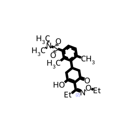 CCO/N=C(/CC)C1=C(O)CC(c2c(C)ccc(S(=O)(=O)N(C)C)c2C)CC1=O